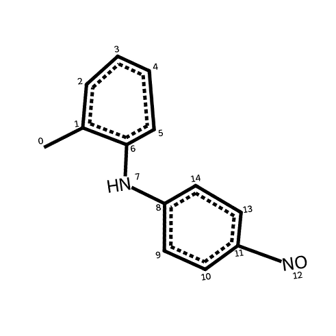 Cc1ccccc1Nc1ccc(N=O)cc1